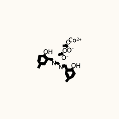 CC(=O)[O-].CC(=O)[O-].Cc1ccc(O)c(C=NCN=Cc2cc(C)ccc2O)c1.[Co+2]